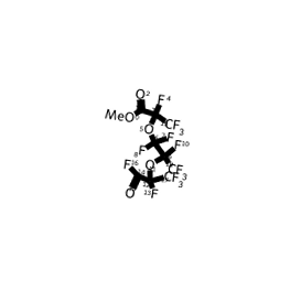 COC(=O)C(F)(OC(F)(F)C(F)(OC(F)(C(=O)F)C(F)(F)F)C(F)(F)F)C(F)(F)F